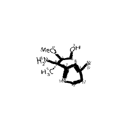 COC(CO)[C@](C)(N)c1cc(Br)ccn1